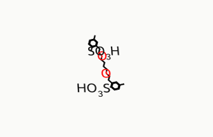 Cc1ccc(S(=O)(=O)O)c(CCOCCCCOCCc2cc(C)ccc2S(=O)(=O)O)c1